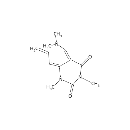 C=C/C=c1\c(=C/N(C)C)c(=O)n(C)c(=O)n1C